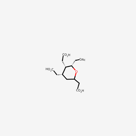 CC(=O)OC[C@@H]1OC(CC(=O)O)C[C@H](CC(=O)O)[C@@H]1CC(=O)O